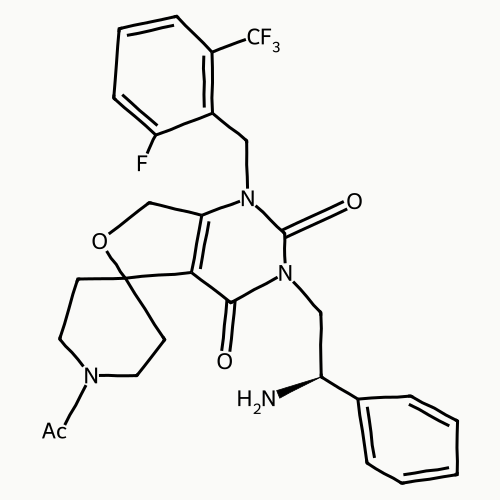 CC(=O)N1CCC2(CC1)OCc1c2c(=O)n(C[C@H](N)c2ccccc2)c(=O)n1Cc1c(F)cccc1C(F)(F)F